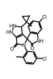 Cc1ccc(Cl)cc1N1C(=O)C2=C(C(C3(C)CC3)NN2)C12C(=O)Nc1cc(Cl)ccc12